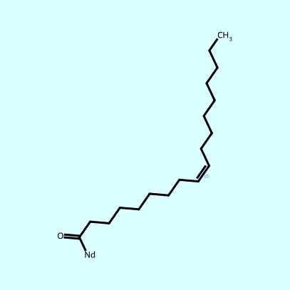 CCCCCCCC/C=C\CCCCCCC[C](=O)[Nd]